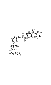 O=C(C=Cc1cccc(C(=O)Nc2cccc(C(F)(F)F)c2)c1)Nc1ccc(C(=O)N2CCOCC2)cn1